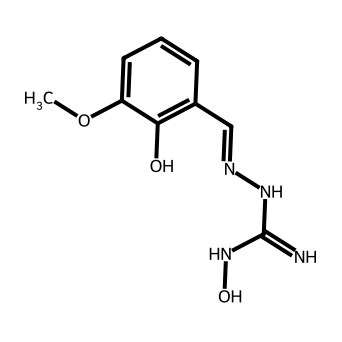 COc1cccc(C=NNC(=N)NO)c1O